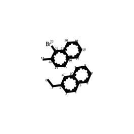 CCc1ccc2ccccc2c1.Cc1ccc2ccccc2c1Br